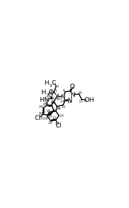 C=C(CC)[C@H]1N2CC(=O)N(CCO)N=C2C[C@@H](C2C=CC=C(Cl)C2)[C@]12C(=O)Nc1cc(Cl)ccc12